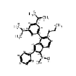 CCCc1ccc2c(c1-c1cc(C(C)C)cc(C(C)C)c1)C=C(c1ccccc1)[CH]2[Zr]([Cl])[Cl]